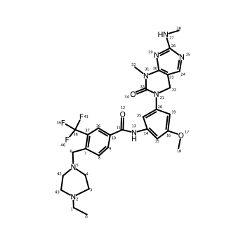 CCN1CCN(Cc2ccc(C(=O)Nc3cc(OC)cc(N4Cc5cnc(NC)nc5N(C)C4=O)c3)cc2C(F)(F)F)CC1